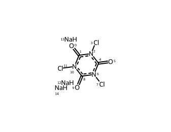 O=c1n(Cl)c(=O)n(Cl)c(=O)n1Cl.[NaH].[NaH].[NaH]